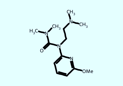 COc1cccc(N(CCN(C)C)C(=O)N(C)C)n1